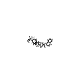 NC(=O)c1cnc(N2CC3CN(Cc4ccc5ccccc5c4)CC3C2)nc1